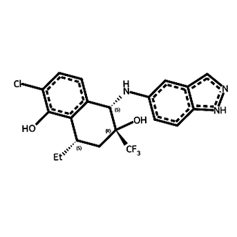 CC[C@H]1C[C@](O)(C(F)(F)F)[C@@H](Nc2ccc3[nH]ncc3c2)c2ccc(Cl)c(O)c21